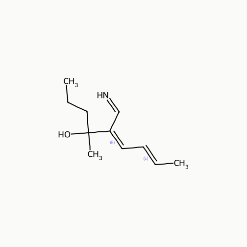 C/C=C/C=C(\C=N)C(C)(O)CCC